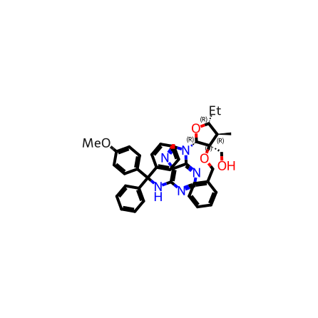 CC[C@H]1O[C@@H](n2cnc3c(NC(c4ccccc4)(c4ccccc4)c4ccc(OC)cc4)ncnc32)[C@](CO)(OCc2ccccc2)[C@@H]1C